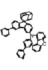 c1ccc(-c2ccc(N(c3ccc4c(c3)-c3cc(-c5ccccc5)ccc3C43C4CC5CC(C4)CC3C5)c3cccc4oc5ccccc5c34)cc2)cc1